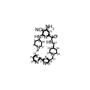 CN1CCC(Nc2nc(C(=O)NCC3CCN(Cc4cnc(-c5ccccn5)s4)CC3)cc(N)c2C#N)CC1